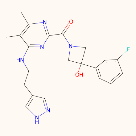 Cc1nc(C(=O)N2CC(O)(c3cccc(F)c3)C2)nc(NCCc2cn[nH]c2)c1C